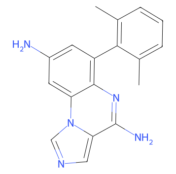 Cc1cccc(C)c1-c1cc(N)cc2c1nc(N)c1cncn12